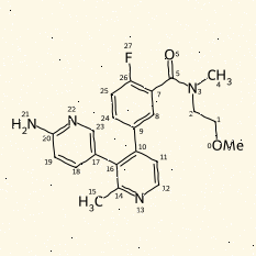 COCCN(C)C(=O)c1cc(-c2ccnc(C)c2-c2ccc(N)nc2)ccc1F